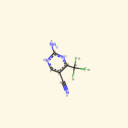 N#Cc1cnc(N)nc1C(F)(F)F